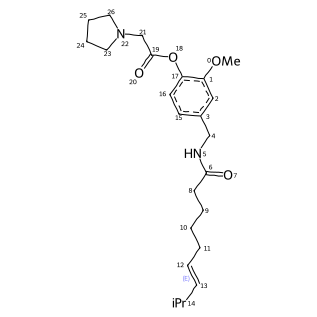 COc1cc(CNC(=O)CCCC/C=C/C(C)C)ccc1OC(=O)CN1CCCC1